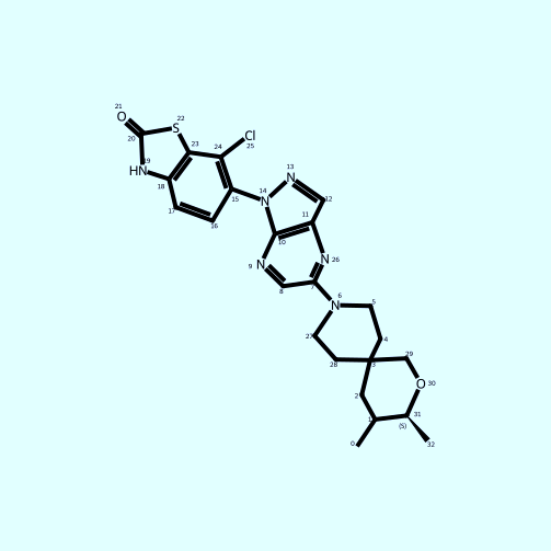 CC1CC2(CCN(c3cnc4c(cnn4-c4ccc5[nH]c(=O)sc5c4Cl)n3)CC2)CO[C@H]1C